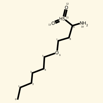 CCCCCCOCCC(N)[SH](=O)=O